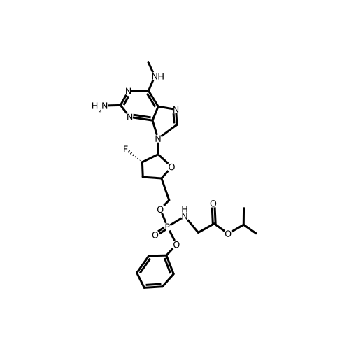 CNc1nc(N)nc2c1ncn2C1OC(COP(=O)(NCC(=O)OC(C)C)Oc2ccccc2)C[C@@H]1F